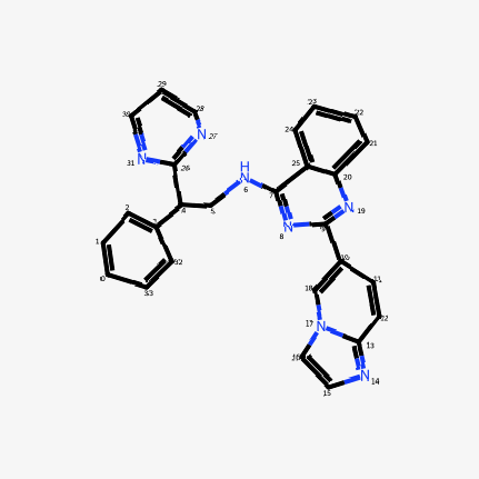 c1ccc(C(CNc2nc(-c3ccc4nccn4c3)nc3ccccc23)c2ncccn2)cc1